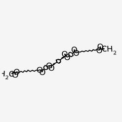 C=CC(=O)OCCCCCCCCCCCOC(=O)C1CCC(OC(=O)C#Cc2ccc(C#CC(=O)OC3CCC(C(=O)OCCCCCCCCCCCOC(=O)C=C)CC3)cc2)CC1